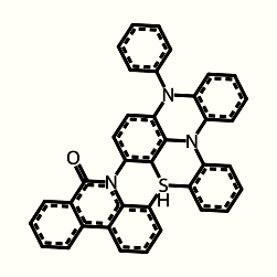 O=c1c2ccccc2c2cccc3c2n1-c1ccc2c4c1[SH]3c1ccccc1N4c1ccccc1N2c1ccccc1